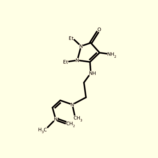 C=[N+](C)/C=C\N(C)CCNc1c(N)c(=O)n(CC)n1CC